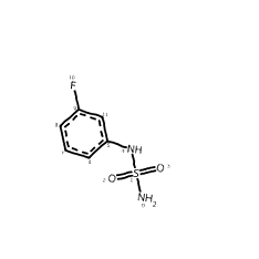 NS(=O)(=O)Nc1cccc(F)c1